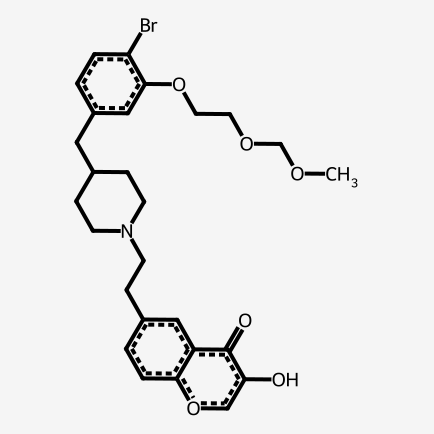 COCOCCOc1cc(CC2CCN(CCc3ccc4occ(O)c(=O)c4c3)CC2)ccc1Br